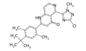 Cc1cc(C(C)(C)C)c(C)cc1-c1cc(=O)c2c(-c3nc(Cl)nn3C)nccc2[nH]1